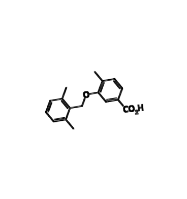 Cc1ccc(C(=O)O)cc1OCc1c(C)cccc1C